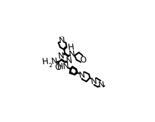 CN1CC=C(c2nc(C(N)=O)c(Nc3ccc(N4CCC(N5CCN(C)CC5)CC4)cc3)nc2NC2CCOCC2)CC1